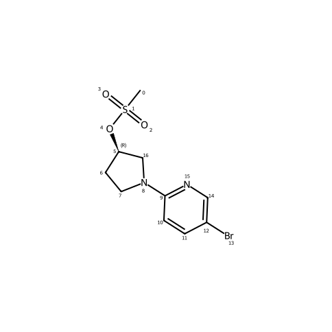 CS(=O)(=O)O[C@@H]1CCN(c2ccc(Br)cn2)C1